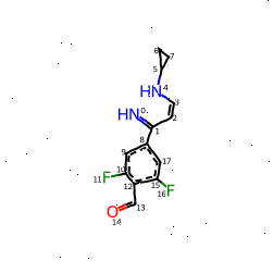 N=C(/C=C\NC1CC1)c1cc(F)c(C=O)c(F)c1